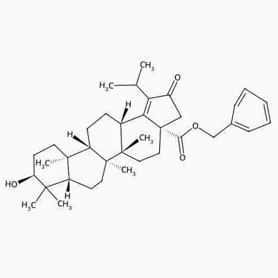 CC(C)C1=C2[C@H]3CC[C@H]4[C@]5(C)CC[C@H](O)C(C)(C)[C@H]5CC[C@]4(C)[C@@]3(C)CC[C@]2(C(=O)OCc2ccccc2)CC1=O